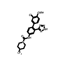 COc1ccc(-c2ccc(NC(=O)N3CCC(C(F)(F)F)CC3)cc2-c2nn[nH]n2)cc1Cl